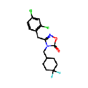 O=c1onc(Cc2ccc(Cl)cc2Cl)n1CC1CCC(F)(F)CC1